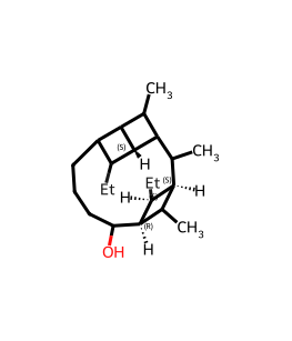 CCC1C2CCCC(O)[C@@H]3C(C)[C@H](C(C)C4C(C)C2[C@@H]14)[C@@H]3CC